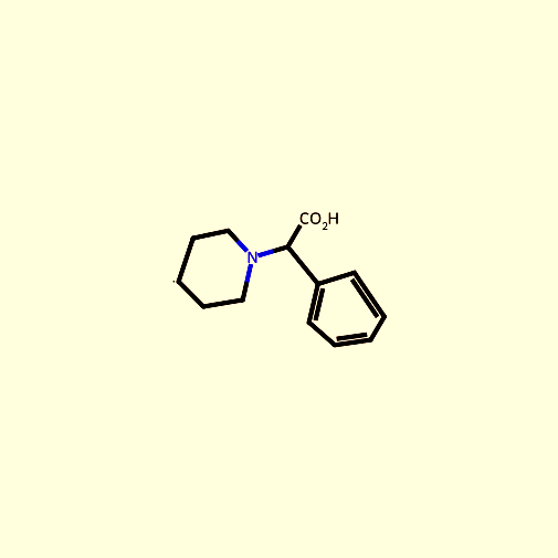 O=C(O)C(c1ccccc1)N1CC[CH]CC1